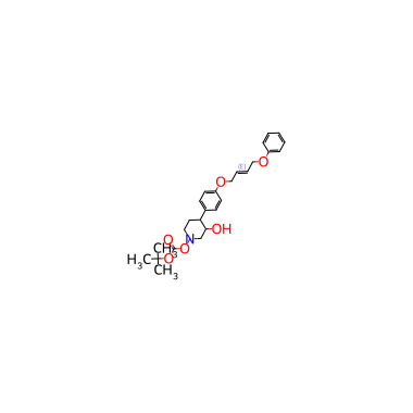 CC(C)(C)OC(=O)ON1CCC(c2ccc(OC/C=C/COc3ccccc3)cc2)C(O)C1